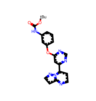 CC(C)(C)OC(=O)Nc1cccc(Oc2cc(-c3ccnc4ccnn34)ncn2)c1